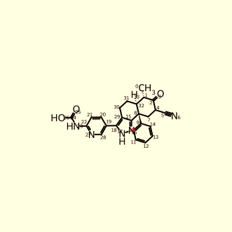 C[C@@H]1C(=O)C(C#N)C[C@]2(c3ccccc3)c3n[nH]c(-c4ccc(NC(=O)O)nc4)c3CC[C@@H]12